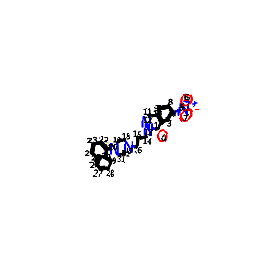 O=c1c2cc([N+](=O)[O-])ccc2cnn1CCCN1CCN(c2cccc3ccccc23)CC1